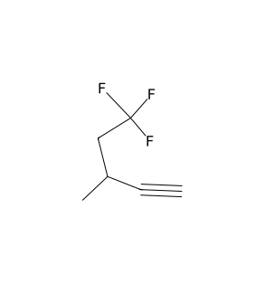 C#CC(C)CC(F)(F)F